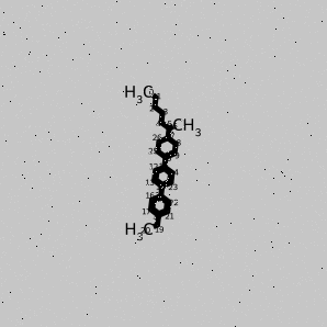 CCCCCC(C)C1CC=C(c2ccc(-c3ccc(CC)cc3)cc2)CC1